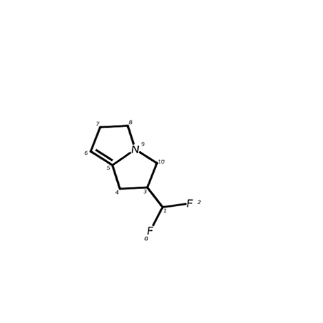 FC(F)C1CC2=CCCN2C1